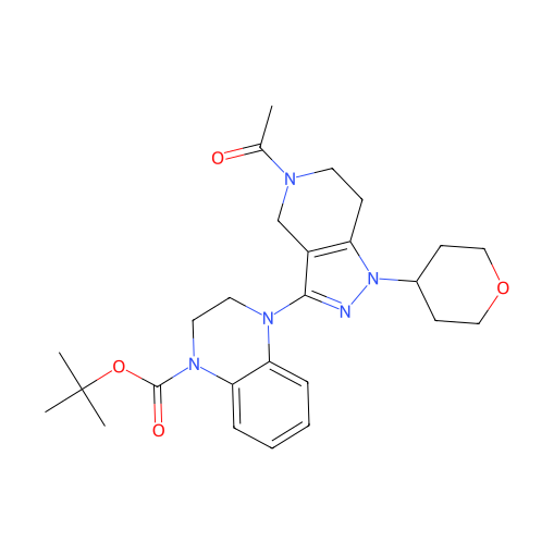 CC(=O)N1CCc2c(c(N3CCN(C(=O)OC(C)(C)C)c4ccccc43)nn2C2CCOCC2)C1